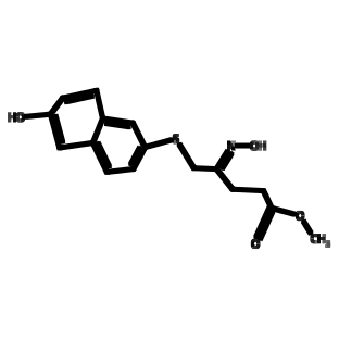 COC(=O)CCC(CSc1ccc2cc(O)ccc2c1)=NO